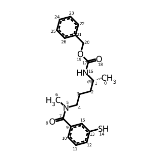 C[C@H](CCCN(C)C(=O)c1cccc(S)c1)NC(=O)OCc1ccccc1